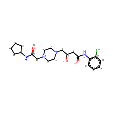 O=C(CC(O)CN1CCN(CC(=O)NC2CCCC2)CC1)Nc1ccccc1F